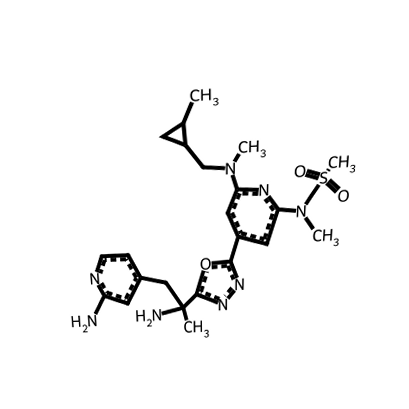 CC1CC1CN(C)c1cc(-c2nnc(C(C)(N)Cc3ccnc(N)c3)o2)cc(N(C)S(C)(=O)=O)n1